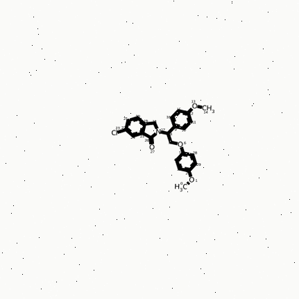 COc1ccc(OCC(c2ccc(OC)cc2)N2Cc3ccc(Cl)cc3C2=O)cc1